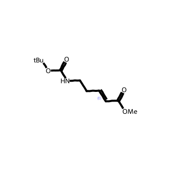 COC(=O)/C=C/CCNC(=O)OC(C)(C)C